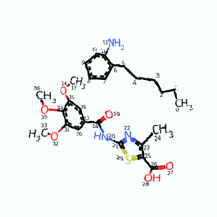 CCCCCCc1ccccc1N.COc1cc(C(=O)Nc2nc(C)c(C(=O)O)s2)cc(OC)c1OC